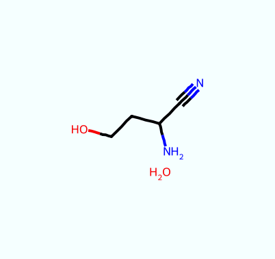 N#CC(N)CCO.O